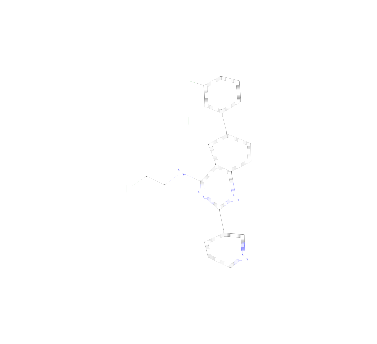 FCCNc1nc(-c2cccnc2)nc2ccc(-c3cccc(F)c3F)cc12